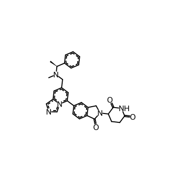 C[C@@H](c1ccccc1)N(C)Cc1cc(-c2ccc3c(c2)CN(C2CCC(=O)NC2=O)C3=O)n2cncc2c1